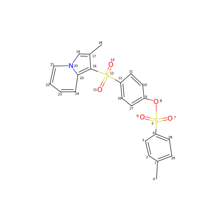 Cc1ccc(S(=O)(=O)Oc2ccc(S(=O)(=O)c3c(C)cn4ccccc34)cc2)cc1